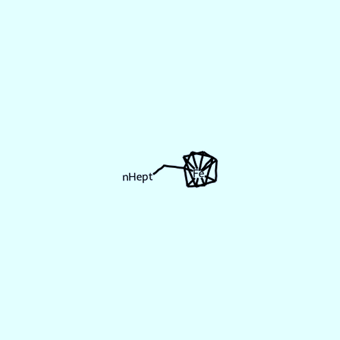 CCCCCCCC[C]12[CH]3[CH]4[CH]5[CH]1[Fe]45321678[CH]2[CH]1[CH]6[CH]7[CH]28